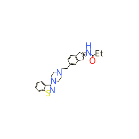 CCC(=O)N[C@H]1Cc2ccc(CCN3CCN(c4nsc5ccccc45)CC3)cc2C1